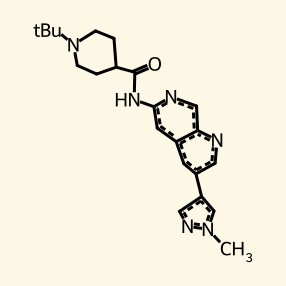 Cn1cc(-c2cnc3cnc(NC(=O)C4CCN(C(C)(C)C)CC4)cc3c2)cn1